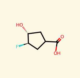 O=C(O)C1C[C@@H](O)[C@H](F)C1